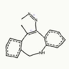 C/N=N\C1=C(/C)c2ccccc2CNc2ccccc21